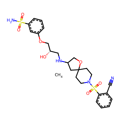 C.N#Cc1ccccc1S(=O)(=O)N1CCC2(CC1)CC(NC[C@H](O)COc1cccc(S(N)(=O)=O)c1)CO2